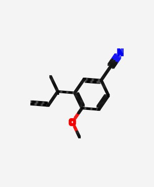 C=C[C](C)c1cc(C#N)ccc1OC